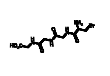 CC(C)CC(N)C(=O)NCC(=O)NCC(=O)NCC(=O)O